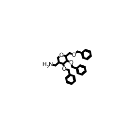 NCC1COC(COCc2ccccc2)C(OCc2ccccc2)C1OCc1ccccc1